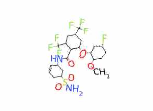 COC1CCC(F)CC1OC1CC(C(F)(F)F)CC(C(F)(F)F)C1C(=O)NC1C=CCC(S(N)(=O)=O)C1